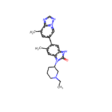 CCN1CCCC(n2c(=O)[nH]c3cc(-c4cc(C)c5ncnn5c4)c(C)cc32)C1